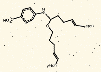 CCCCCCCCCC=CCCCOC(CCC=CCCCCCCCCC)Nc1ccc(C(=O)O)cc1